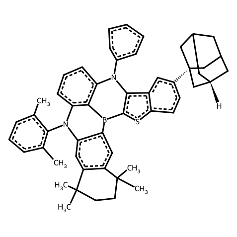 Cc1cccc(C)c1N1c2cc3c(cc2B2c4sc5ccc([C@]67CC8CC(C[C@H](C8)C6)C7)cc5c4N(c4ccccc4)c4cccc1c42)C(C)(C)CCC3(C)C